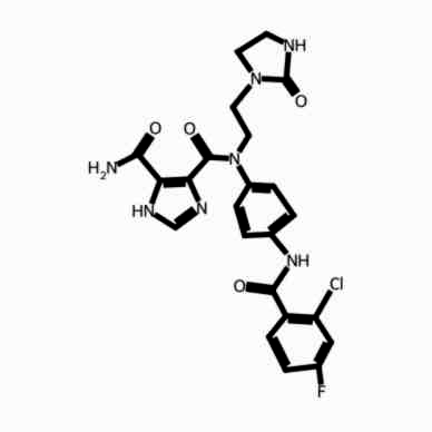 NC(=O)c1[nH]cnc1C(=O)N(CCN1CCNC1=O)c1ccc(NC(=O)c2ccc(F)cc2Cl)cc1